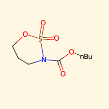 CCCCOC(=O)N1CCCOS1(=O)=O